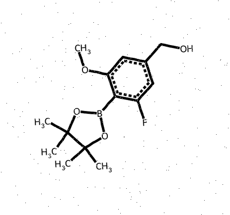 COc1cc(CO)cc(F)c1B1OC(C)(C)C(C)(C)O1